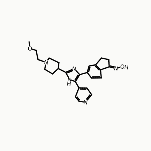 COCCN1CCC(c2nc(-c3ccc4c(c3)CCC4=NO)c(-c3ccncc3)[nH]2)CC1